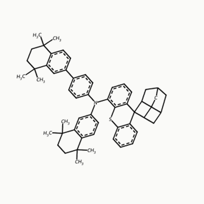 CC1(C)CCC(C)(C)c2cc(-c3ccc(N(c4ccc5c(c4)C(C)(C)CCC5(C)C)c4cccc5c4Sc4ccccc4C54C5CC6CC7CC4C75C6)cc3)ccc21